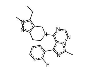 CCc1c2c(nn1C)CCN(c1ncnn3c(C)nc(-c4ccccc4F)c13)C2